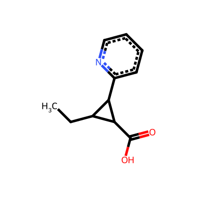 CCC1C(C(=O)O)C1c1ccccn1